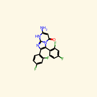 Nc1cc(=O)n2c(-c3ccc(F)cc3F)c(-c3ccc(F)cc3F)nc2[nH]1